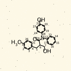 Cc1ccc(CC(CO)C(=O)N(c2ccccc2)c2ccc(O)cc2)cc1